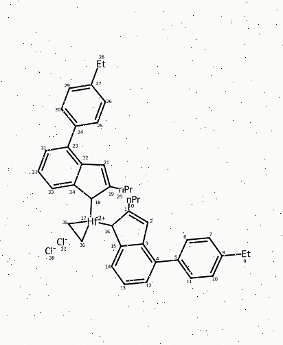 CCCC1=Cc2c(-c3ccc(CC)cc3)cccc2[CH]1[Hf+2]1([CH]2C(CCC)=Cc3c(-c4ccc(CC)cc4)cccc32)[CH2][CH2]1.[Cl-].[Cl-]